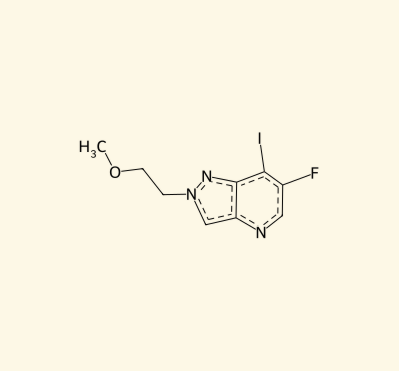 COCCn1cc2ncc(F)c(I)c2n1